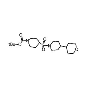 CC(C)(C)OC(=O)N1CCC(S(=O)(=O)N2CCC(C3CCOCC3)CC2)CC1